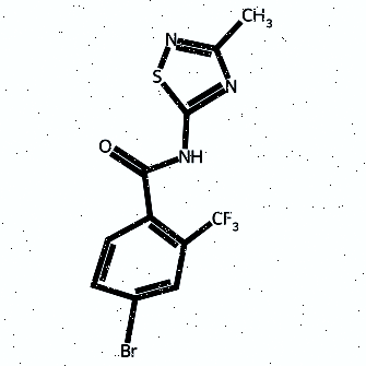 Cc1nsc(NC(=O)c2ccc(Br)cc2C(F)(F)F)n1